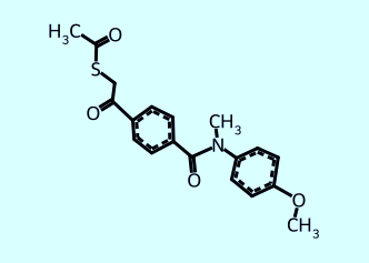 COc1ccc(N(C)C(=O)c2ccc(C(=O)CSC(C)=O)cc2)cc1